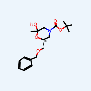 CC(C)(C)OC(=O)N1C[C@H](COCc2ccccc2)OC(C)(O)C1